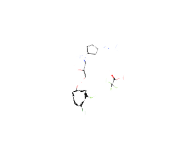 N[C@H]1CC[C@H](NCC(O)COc2ccc(Cl)c(F)c2)C1.O=C(O)C(F)(F)F